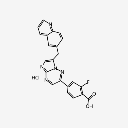 Cl.O=C(O)c1ccc(-c2cnc3ncc(Cc4ccc5ncccc5c4)n3n2)cc1F